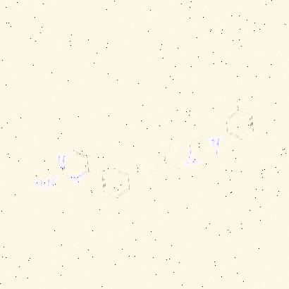 Nc1nccc(-c2cccc(OCC(O)CN3CCN(c4cccc(Cl)c4)CC3)c2)n1